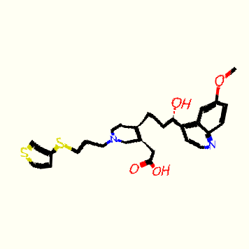 COc1ccc2nccc([C@@H](O)CC[C@@H]3CCN(CCCSc4ccsc4)C[C@@H]3CC(=O)O)c2c1